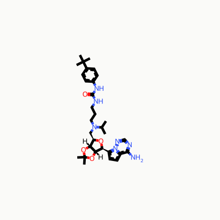 CC(C)N(CCCNC(=O)Nc1ccc(C(C)(C)C)cc1)C[C@H]1O[C@@H](c2ccc3c(N)ncnn23)[C@@H]2OC(C)(C)O[C@@H]21